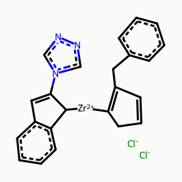 C1=CC(Cc2ccccc2)=[C]([Zr+2][CH]2C(n3cnnc3)=Cc3ccccc32)C1.[Cl-].[Cl-]